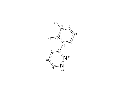 Cc1cccc(-c2cc[c]nn2)c1C